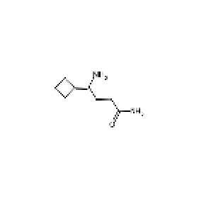 NC(=O)CCC(N)=C1CCC1